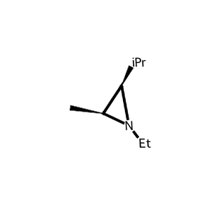 CCN1[C@H](C(C)C)[C@@H]1C